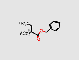 CC(=O)N[C@H](CC(=O)O)C(=O)OCc1ccccc1